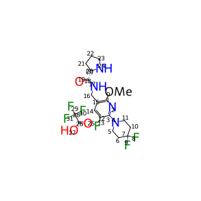 COc1nc(N2CCC(F)(F)CC2)c(F)cc1CNC(=O)[C@@H]1CCCN1.O=C(O)C(F)(F)F